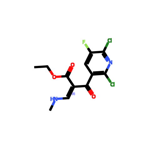 CCOC(=O)/C(=C\NC)C(=O)c1cc(F)c(Cl)nc1Cl